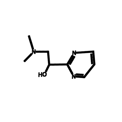 CN(C)CC(O)c1ncccn1